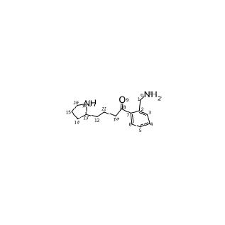 NCc1ccccc1C(=O)CCCC1CCCN1